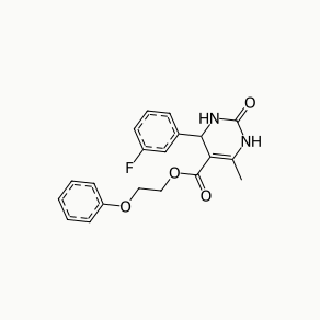 CC1=C(C(=O)OCCOc2ccccc2)C(c2cccc(F)c2)NC(=O)N1